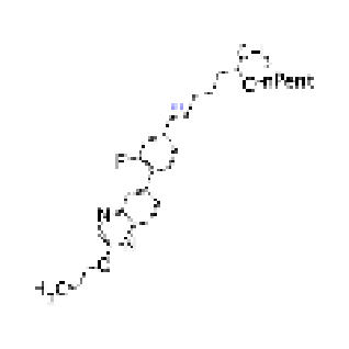 C=CCOc1cnc2cc(-c3ccc(/C=C/CCCC(C)OCCCCC)cc3F)ccc2n1